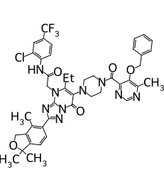 CCc1c(N2CCN(C(=O)c3ncnc(C)c3OCc3ccccc3)CC2)c(=O)n2nc(-c3ccc4c(c3C)COC4(C)C)nc2n1CC(=O)Nc1ccc(C(F)(F)F)cc1Cl